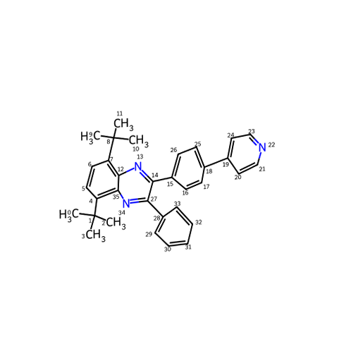 CC(C)(C)c1ccc(C(C)(C)C)c2nc(-c3ccc(-c4ccncc4)cc3)c(-c3ccccc3)nc12